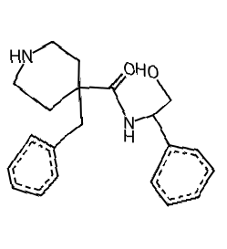 O=C(NC(CO)c1ccccc1)C1(Cc2ccccc2)CCNCC1